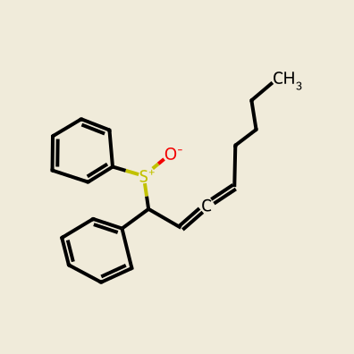 CCCCC=C=CC(c1ccccc1)[S+]([O-])c1ccccc1